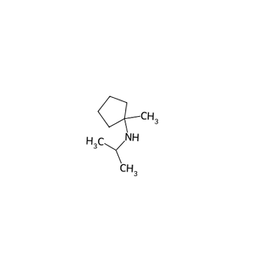 CC(C)NC1(C)CCCC1